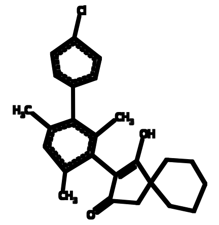 Cc1cc(C)c(-c2ccc(Cl)cc2)c(C)c1C1=C(O)C2(CCCCC2)CC1=O